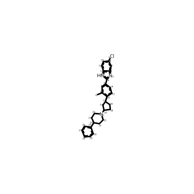 Cc1cc(-c2nc3cc(Cl)ccc3[nH]2)ccc1C1CCC(N2CCC(c3ccccc3)CC2)C1